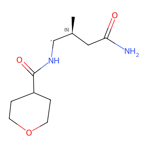 C[C@H]([CH]NC(=O)C1CCOCC1)CC(N)=O